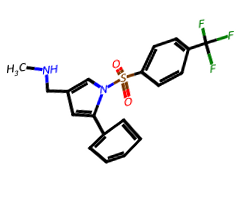 CNCc1cc(-c2ccccc2)n(S(=O)(=O)c2ccc(C(F)(F)F)cc2)c1